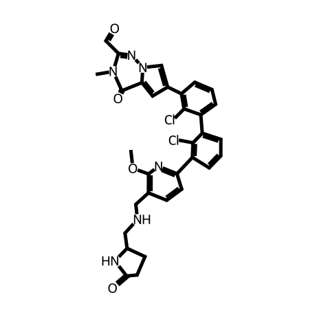 COc1nc(-c2cccc(-c3cccc(-c4cc5c(=O)n(C)c(C=O)nn5c4)c3Cl)c2Cl)ccc1CNCC1CCC(=O)N1